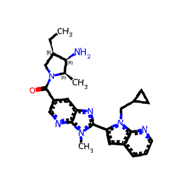 CC[C@@H]1CN(C(=O)c2cnc3c(c2)nc(-c2cc4cccnc4n2CC2CC2)n3C)[C@H](C)[C@@H]1N